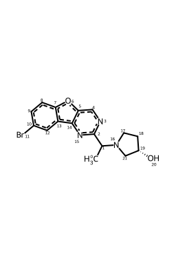 CC(c1ncc2oc3ccc(Br)cc3c2n1)N1CC[C@H](O)C1